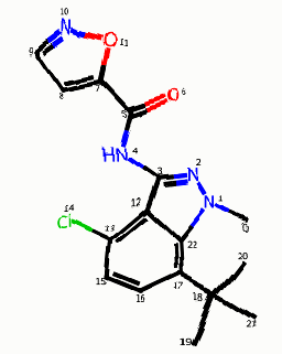 Cn1nc(NC(=O)c2ccno2)c2c(Cl)ccc(C(C)(C)C)c21